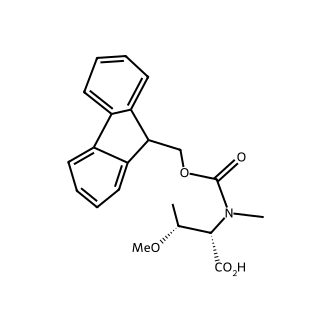 CO[C@H](C)[C@@H](C(=O)O)N(C)C(=O)OCC1c2ccccc2-c2ccccc21